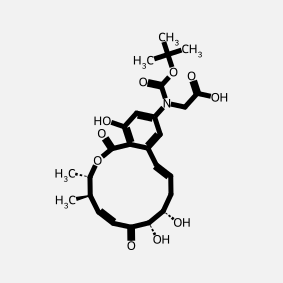 C[C@@H]1/C=C\C(=O)[C@@H](O)[C@@H](O)C/C=C/c2cc(N(CC(=O)O)C(=O)OC(C)(C)C)cc(O)c2C(=O)O[C@H]1C